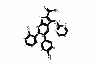 CC(C)(C)C(=O)c1oc2nc(-c3ccccc3Cl)c(-c3ccc(Cl)cc3)cc2c1Nc1ncccn1